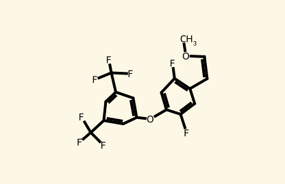 CO/C=C\c1cc(F)c(Oc2cc(C(F)(F)F)cc(C(F)(F)F)c2)cc1F